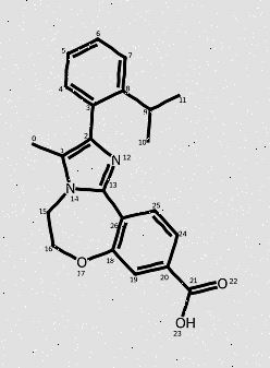 Cc1c(-c2ccccc2C(C)C)nc2n1CCOc1cc(C(=O)O)ccc1-2